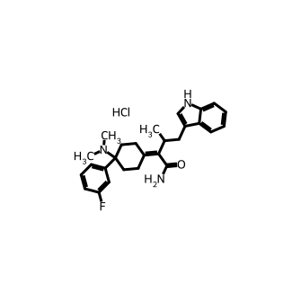 CC(Cc1c[nH]c2ccccc12)C(C(N)=O)=C1CCC(c2cccc(F)c2)(N(C)C)CC1.Cl